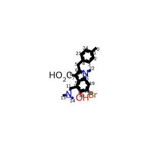 Cc1ccc(Cc2c(C(=O)O)c3c(CN(C)C)c(O)c(Br)cc3n2C)cc1